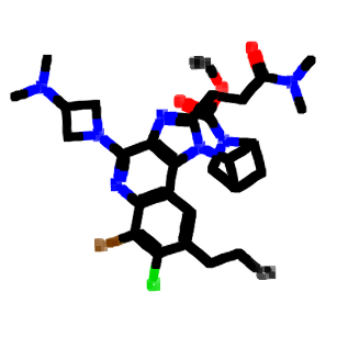 CN(C)C(=O)CCc1nc2c(N3CC(N(C)C)C3)nc3c(Br)c(Cl)c(CCC#N)cc3c2n1C1C2CC1N(C(=O)OC(C)(C)C)C2